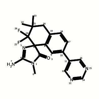 CN1C(=O)C2(N=C1N)c1cc(-c3cncnc3)ccc1CC(C)(C)C2(F)F